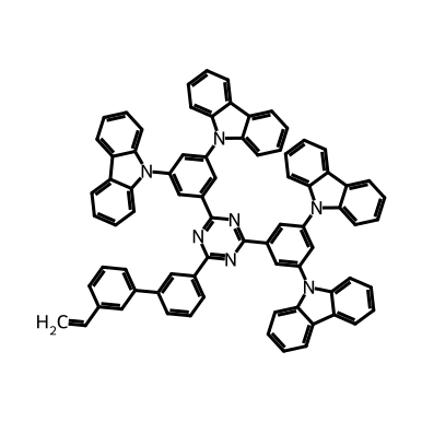 C=Cc1cccc(-c2cccc(-c3nc(-c4cc(-n5c6ccccc6c6ccccc65)cc(-n5c6ccccc6c6ccccc65)c4)nc(-c4cc(-n5c6ccccc6c6ccccc65)cc(-n5c6ccccc6c6ccccc65)c4)n3)c2)c1